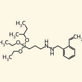 C=Cc1ccccc1CNNCCC[Si](OCC)(OCC)OC(C)CC